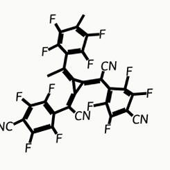 C/C(=C1\C(=C(C#N)c2c(F)c(F)c(C#N)c(F)c2F)\C1=C(\C#N)c1c(F)c(F)c(C#N)c(F)c1F)c1c(F)c(F)c(C)c(F)c1F